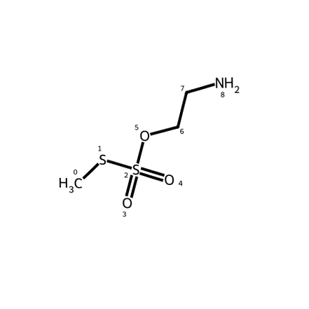 CSS(=O)(=O)OCCN